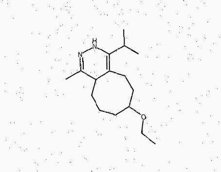 CCOC1CCCC2C(C)=NNC(C(C)C)=C2CC1